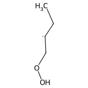 CC[CH]COO